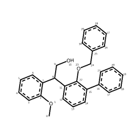 COc1ccccc1C(CO)c1cccc(-c2ccccc2)c1OCc1ccccc1